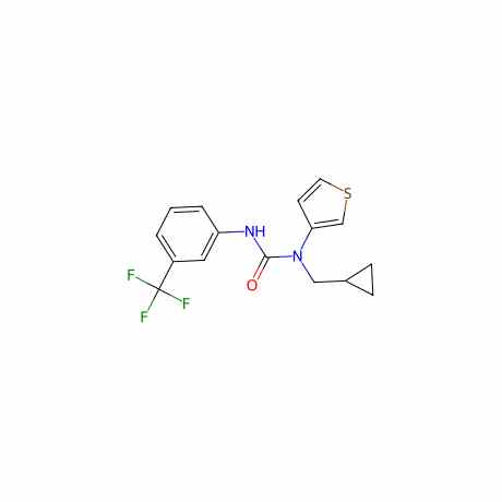 O=C(Nc1cccc(C(F)(F)F)c1)N(CC1CC1)c1ccsc1